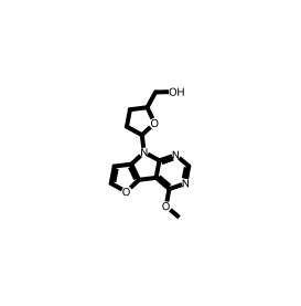 COc1ncnc2c1c1occc1n2C1CCC(CO)O1